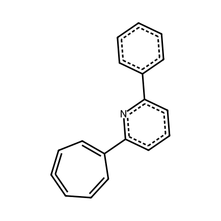 C1=CC=CC(c2cccc(-c3ccccc3)n2)=CC=1